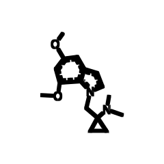 COc1cc(OC)c2c(ccn2CC2(N(C)C)CC2)c1